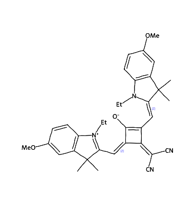 CCN1/C(=C\C2=C([O-])C(=C\C3=[N+](CC)c4ccc(OC)cc4C3(C)C)/C2=C(C#N)C#N)C(C)(C)c2cc(OC)ccc21